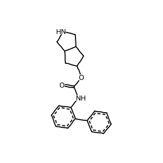 O=C(Nc1ccccc1-c1ccccc1)OC1CC2CNCC2C1